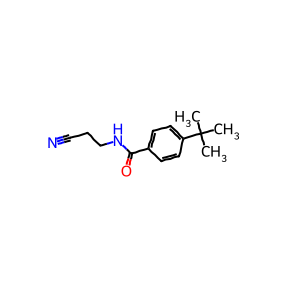 CC(C)(C)c1ccc(C(=O)NCCC#N)cc1